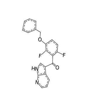 O=C(c1c(F)ccc(OCc2ccccc2)c1F)c1c[nH]c2ncccc12